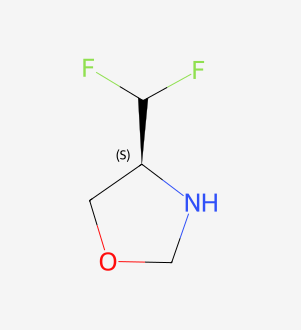 FC(F)[C@@H]1COCN1